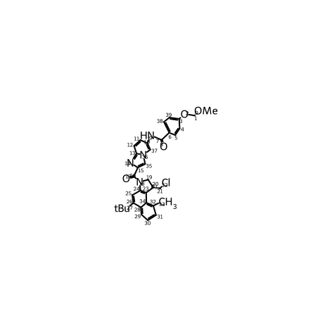 COCOc1ccc(C(=O)Nc2ccc3nc(C(=O)N4C[C@@H](CCl)c5c4cc(C(C)(C)C)c4cccc(C)c54)cn3c2)cc1